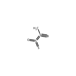 B#S(C)=S(=O)=S